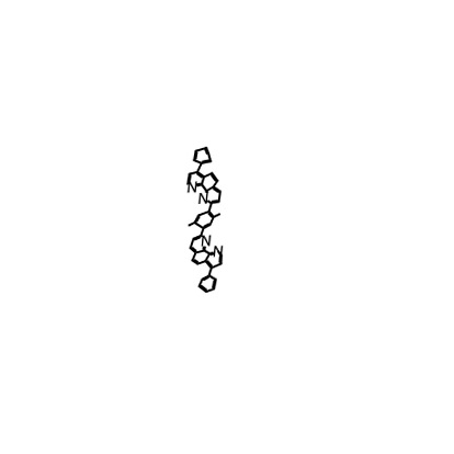 Cc1cc(-c2ccc3ccc4c(-c5ccccc5)ccnc4c3n2)c(C)cc1-c1ccc2ccc3c(-c4ccccc4)ccnc3c2n1